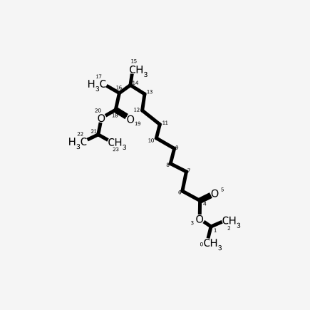 CC(C)OC(=O)CCCCCCCCC(C)C(C)C(=O)OC(C)C